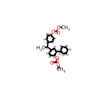 COC(=O)Oc1ccc(C(C)c2ccc(OC(=O)OC)c(-c3ccccc3)c2)cc1